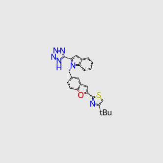 CC(C)(C)c1csc(-c2cc3cc(Cn4c(-c5nnn[nH]5)cc5ccccc54)ccc3o2)n1